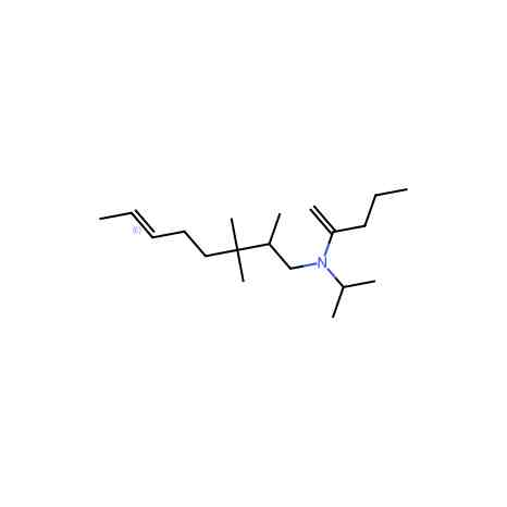 C=C(CCC)N(CC(C)C(C)(C)CC/C=C/C)C(C)C